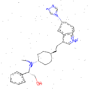 CN([C@H]1CC[C@H](CCc2c[nH]c3ccc(-n4cnnc4)cc23)CC1)[C@H](CO)c1ccccc1